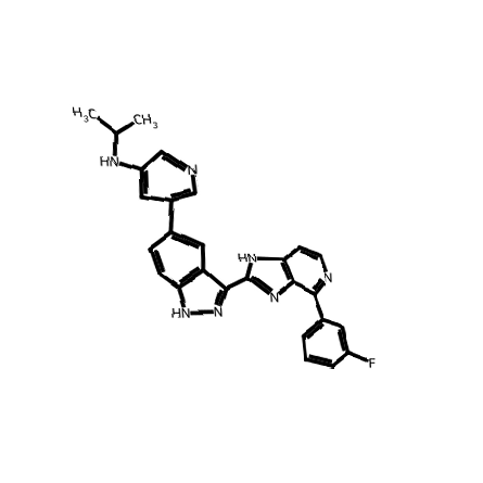 CC(C)Nc1cncc(-c2ccc3[nH]nc(-c4nc5c(-c6cccc(F)c6)nccc5[nH]4)c3c2)c1